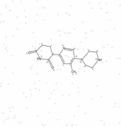 Cc1cc(C2CCC(=O)NC2=O)ncc1N1CCNCC1